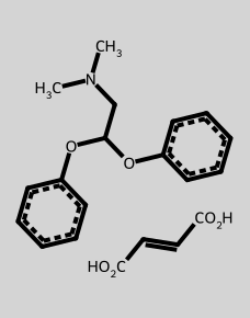 CN(C)CC(Oc1ccccc1)Oc1ccccc1.O=C(O)C=CC(=O)O